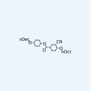 CCCCCCCCCCOc1ccc(OC(=O)c2ccc(OCCCCCCCC)c(C#N)c2)cc1